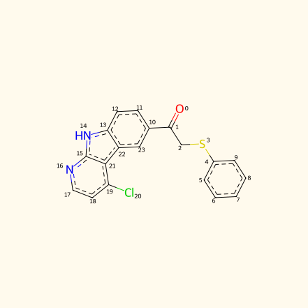 O=C(CSc1ccccc1)c1ccc2[nH]c3nccc(Cl)c3c2c1